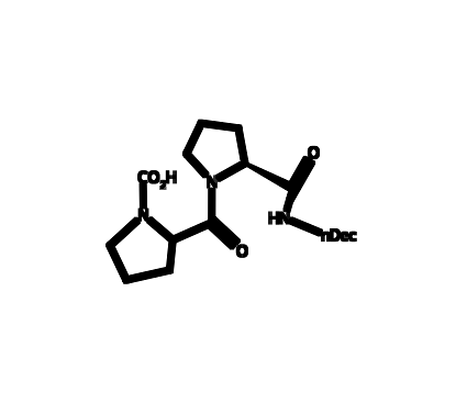 CCCCCCCCCCNC(=O)[C@@H]1CCCN1C(=O)C1CCCN1C(=O)O